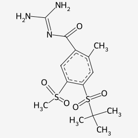 Cc1cc(S(=O)(=O)C(C)(C)C)c(S(C)(=O)=O)cc1C(=O)N=C(N)N